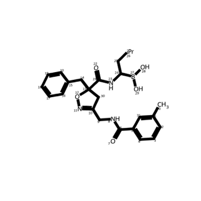 Cc1cccc(C(=O)NCC2=NOC(Cc3ccccc3)(C(=O)NC(CC(C)C)B(O)O)C2)c1